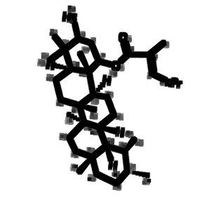 CCCC=C(C)C(=O)OC1CC(S)C(C)(C)[C@@H]2CC[C@]3(C)[C@H](CC[C@@H]4[C@@H]5[C@@H](C)[C@H](C)CC[C@]5(C)CC[C@]43C)[C@@]12C